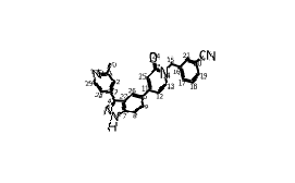 Cc1cc(-c2n[nH]c3ccc(-c4ccn(Cc5cccc(C#N)c5)c(=O)c4)cc23)ccn1